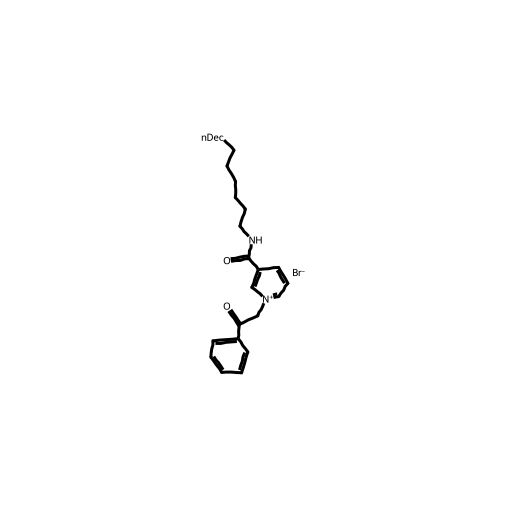 CCCCCCCCCCCCCCCCNC(=O)c1ccc[n+](CC(=O)c2ccccc2)c1.[Br-]